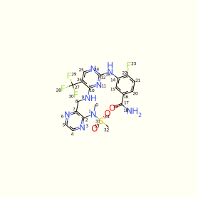 CN(c1nccnc1CNc1nc(Nc2cc(C(N)=O)ccc2F)ncc1C(F)(F)F)S(C)(=O)=O